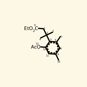 CCOC(=O)CC(C)(C)c1c(C)cc(C)cc1OC(C)=O